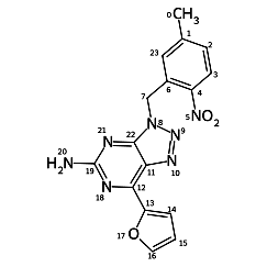 Cc1ccc([N+](=O)[O-])c(Cn2nnc3c(-c4ccco4)nc(N)nc32)c1